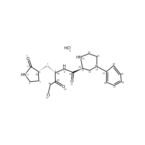 Cl.O=C1NCC[C@H]1C[C@H](NC(=O)[C@@H]1CN(c2ccccc2)CCN1)C(=O)CCl